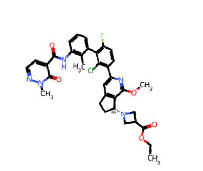 CCOC(=O)C1CN([C@@H]2CCc3cc(-c4ccc(F)c(-c5cccc(NC(=O)c6ccnn(C)c6=O)c5C)c4Cl)nc(OC)c32)C1